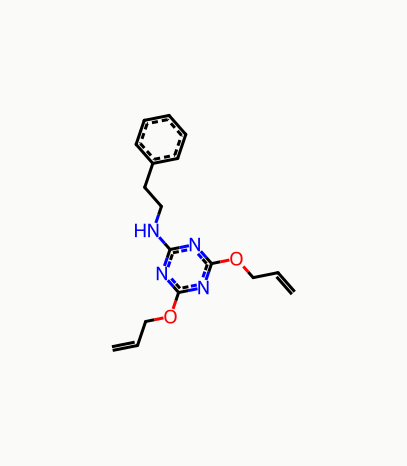 C=CCOc1nc(NCCc2ccccc2)nc(OCC=C)n1